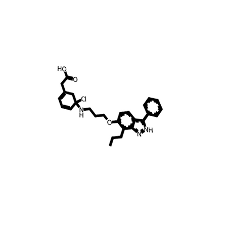 CCCc1c(OCCCNC2(Cl)C=CC=C(CC(=O)O)C2)ccc2c(-c3ccccc3)[nH]nc12